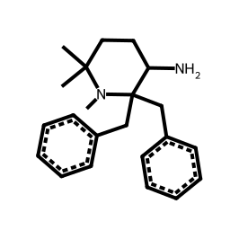 CN1C(C)(C)CCC(N)C1(Cc1ccccc1)Cc1ccccc1